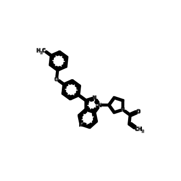 C=CC(=O)N1CCC(n2nc(-c3ccc(Oc4cccc(C)c4)cc3)c3cnccc32)C1